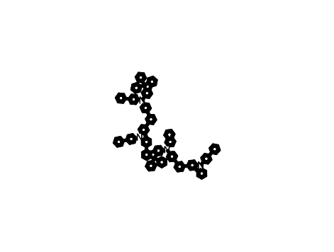 c1ccc(-c2ccc(N(c3ccc(-c4cccc(-c5ccc6c(c5)c5ccc(-c7cccc8c7-c7ccc(N(c9ccc(-c%10cccc(-c%11ccc%12c(c%11)c%11ccccc%11n%12-c%11ccc(-c%12ccccc%12)cc%11)c%10)cc9)c9ccc%10ccccc%10c9)cc7C8(c7ccccc7)c7ccccc7)cc5n6-c5ccc(-c6ccccc6)cc5)c4)cc3)c3ccc4c(c3)C(c3ccccc3)(c3ccccc3)c3ccccc3-4)cc2)cc1